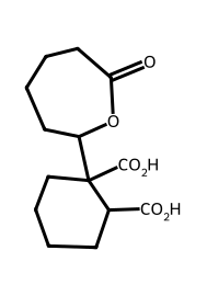 O=C1CCCCC(C2(C(=O)O)CCCCC2C(=O)O)O1